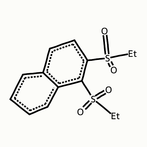 CCS(=O)(=O)c1ccc2ccccc2c1S(=O)(=O)CC